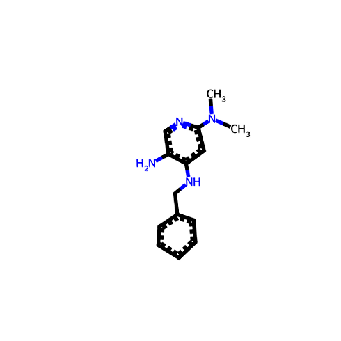 CN(C)c1cc(NCc2ccccc2)c(N)cn1